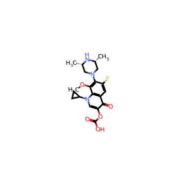 COc1c(N2C[C@@H](C)N[C@@H](C)C2)c(F)cc2c(=O)c(OC(=O)O)cn(C3CC3)c12